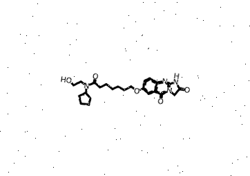 O=C1Cn2c(nc3ccc(OCCCCCCC(=O)N(CCO)C4CCCC4)cc3c2=O)N1